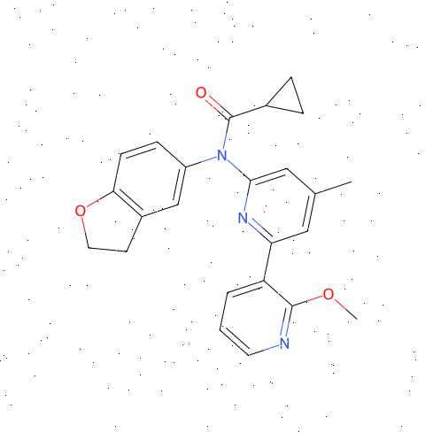 COc1ncccc1-c1cc(C)cc(N(C(=O)C2CC2)c2ccc3c(c2)CCO3)n1